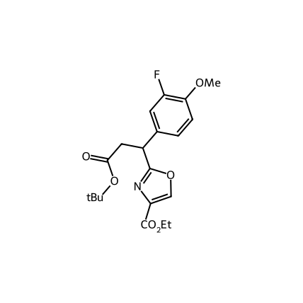 CCOC(=O)c1coc(C(CC(=O)OC(C)(C)C)c2ccc(OC)c(F)c2)n1